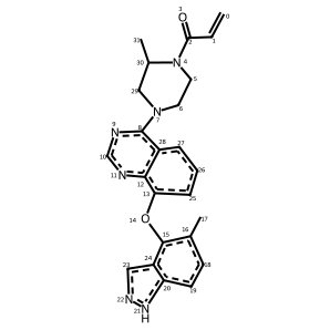 C=CC(=O)N1CCN(c2ncnc3c(Oc4c(C)ccc5[nH]ncc45)cccc23)CC1C